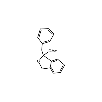 COC1(Cc2ccccc2)OCc2ccccc21